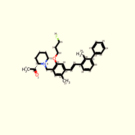 CC(=O)[C@@H]1CCCCN1Cc1cc(C)c(/C=C/c2cccc(-c3ccccc3)c2C)cc1OCCCF